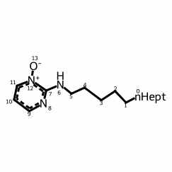 CCCCCCCCCCCCNc1nccc[n+]1[O-]